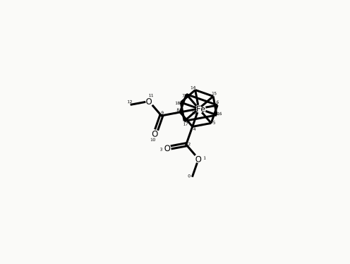 COC(=O)[C]12[CH]3[CH]4[CH]5[C]1(C(=O)OC)[Fe]43521678[CH]2[CH]1[CH]6[CH]7[CH]28